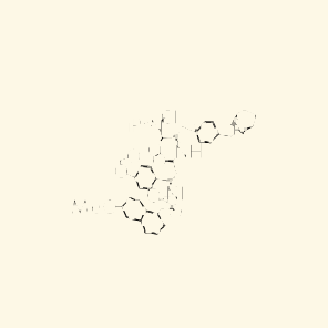 COc1ccc2c(S(=O)(=O)N[C@H](CC(=O)N[C@H](Cc3ccc(CN4C5CCC4CC5)cc3)C(=O)N(C)C(C)C)c3ccc4c(c3)OCO4)cccc2c1